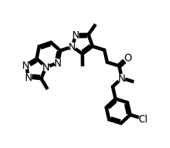 Cc1nn(-c2ccc3nnc(C)n3n2)c(C)c1CCC(=O)N(C)Cc1cccc(Cl)c1